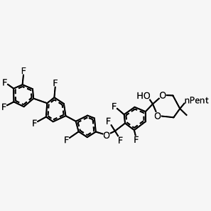 CCCCCC1(C)COC(O)(c2cc(F)c(C(F)(F)Oc3ccc(-c4cc(F)c(-c5cc(F)c(F)c(F)c5)c(F)c4)c(F)c3)c(F)c2)OC1